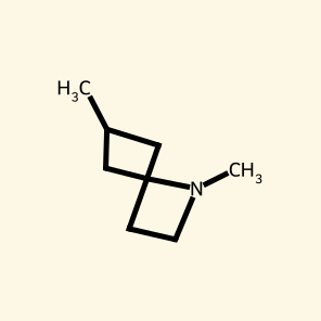 CC1CC2(CCN2C)C1